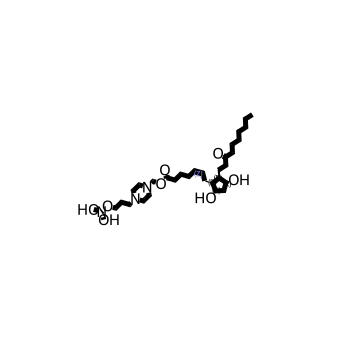 CCCCCCCC(=O)CC[C@@H]1[C@@H](C/C=C\CCCC(=O)OCN2CCN(CCCON(O)O)CC2)[C@@H](O)C[C@H]1O